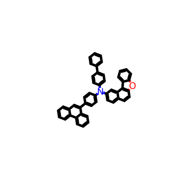 c1ccc(-c2ccc(N(c3ccc(-c4cc5ccccc5c5ccccc45)cc3)c3ccc4ccc5oc6ccccc6c5c4c3)cc2)cc1